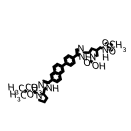 CC(C)(C)OC(=O)N1CCCC1c1ncc(-c2ccc3cc(-c4ccc(-c5cnc(C6CC(CNS(C)(=O)=O)CN6C(=O)O)[nH]5)cc4)ccc3c2)[nH]1